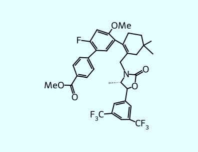 COC(=O)c1ccc(-c2cc(C3=C(CN4C(=O)OC(c5cc(C(F)(F)F)cc(C(F)(F)F)c5)[C@@H]4C)CC(C)(C)CC3)c(OC)cc2F)cc1